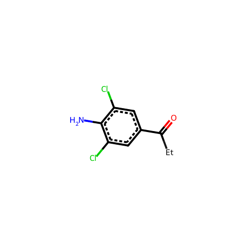 CCC(=O)c1cc(Cl)c(N)c(Cl)c1